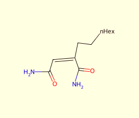 CCCCCCCCC(=CC(N)=O)C(N)=O